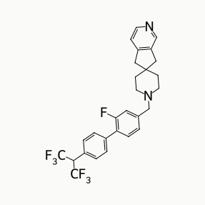 Fc1cc(CN2CCC3(CC2)Cc2ccncc2C3)ccc1-c1ccc(C(C(F)(F)F)C(F)(F)F)cc1